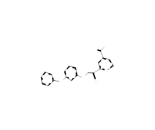 O=C(O)c1ccnc(/C(COc2cccc(Oc3ccccc3)c2)=N/O)c1